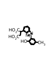 Cc1ccc(O)c(-n2nc3cccc(C(CC(=O)O)C(=O)O)c3n2)c1